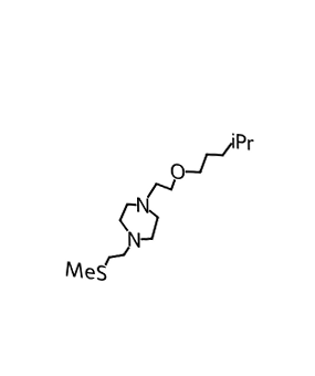 CSCCN1CCN(CCOCCCC(C)C)CC1